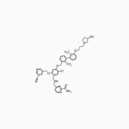 Cc1c(COc2cc(OCc3cncc(C#N)c3)c(CNCc3ccnc(C(N)=O)n3)cc2Cl)cccc1-c1cccc(OCCCN2CC[C@@H](O)C2)c1C